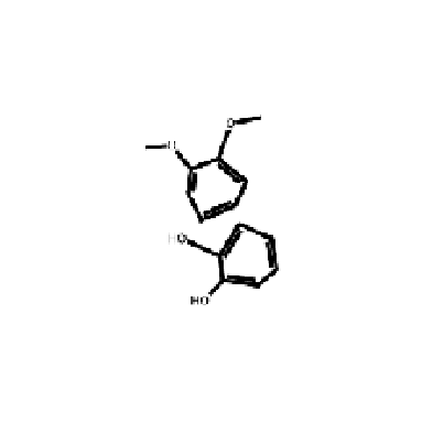 COc1ccccc1OC.Oc1ccccc1O